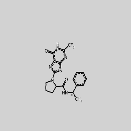 C[C@@H](NC(=O)C1CCCN1c1nc2c(=O)[nH]c(C(F)(F)F)nc2s1)c1ccccc1